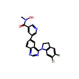 CN(O)C(=O)c1cncc(-c2ccc3ncnc(N4CCc5cc(F)c(Cl)cc54)c3c2)c1